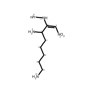 CCCNC(=C[N+](=O)[O-])C(N)CCCCCN